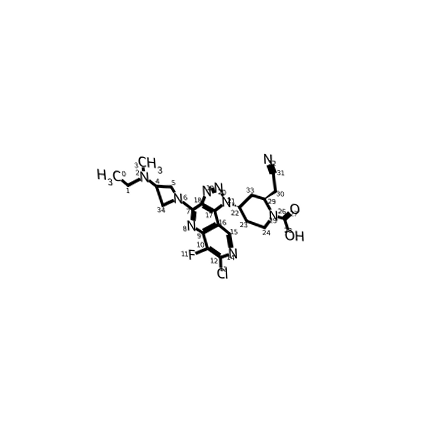 CCN(C)C1CN(c2nc3c(F)c(Cl)ncc3c3c2nnn3[C@H]2CCN(C(=O)O)[C@H](CC#N)C2)C1